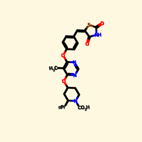 CCCC1CC(Oc2ncnc(Oc3ccc(C=C4SC(=O)NC4=O)cc3)c2C)CCN1C(=O)O